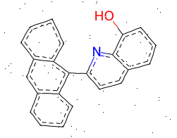 Oc1cccc2ccc(-c3c4ccccc4cc4ccccc34)nc12